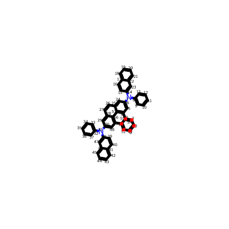 c1ccc(-c2cc(N(c3ccccc3)c3ccc4ccccc4c3)cc3ccc4cc(N(c5ccccc5)c5ccc6ccccc6c5)cc(-c5ccccc5)c4c23)cc1